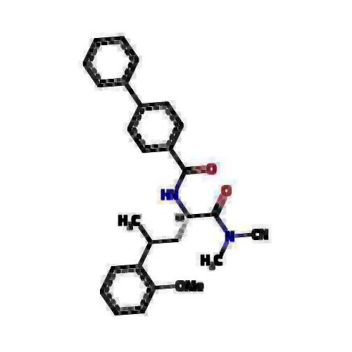 COc1ccccc1C(C)C[C@H](NC(=O)c1ccc(-c2ccccc2)cc1)C(=O)N(C)C#N